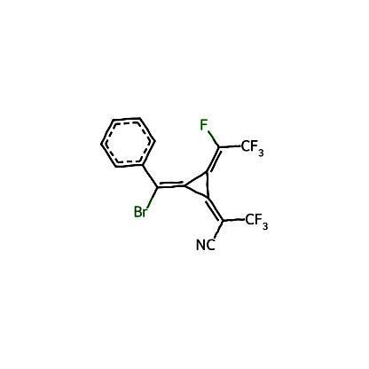 N#C/C(=C1/C(=C(F)C(F)(F)F)/C1=C(/Br)c1ccccc1)C(F)(F)F